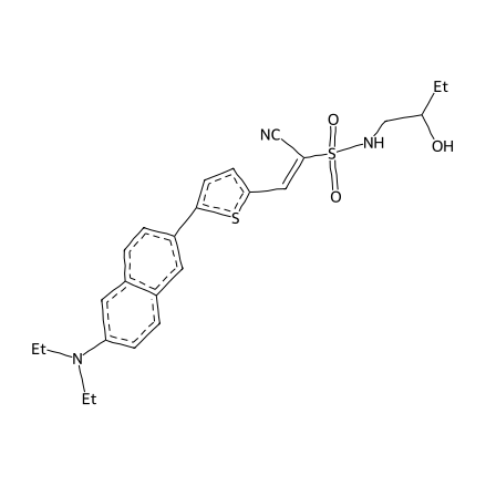 CCC(O)CNS(=O)(=O)/C(C#N)=C/c1ccc(-c2ccc3cc(N(CC)CC)ccc3c2)s1